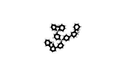 c1cc(-c2cccc3c2oc2ccccc23)cc(N(c2ccc(-c3ccc4oc5ccccc5c4c3)cc2)c2cccc(-n3c4ccccc4c4ccccc43)c2)c1